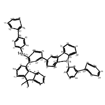 CC1(C)c2ccccc2-c2c(-c3cc(-c4ccc5c(c4)c4ccccc4n5-c4cccc(-c5ccccc5)c4)ccc3Nc3ccc(-c4ccccc4)cc3)cccc21